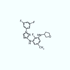 Cc1cc(Nc2ncn(-c3cc(F)cc(F)c3)n2)c(F)c(NC2CCOC2)c1